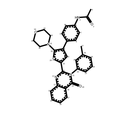 CC(=O)Nc1ccc(-c2cc(-c3nc4ccccc4c(=O)n3-c3cccc(C)c3)sc2N2CCOCC2)cc1